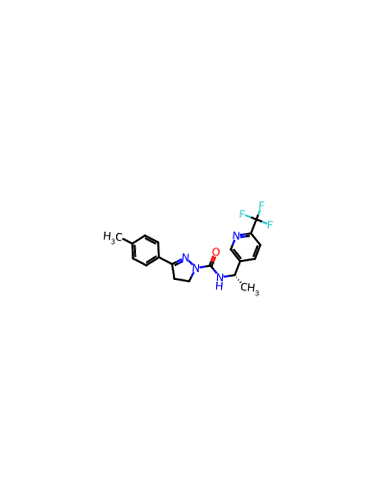 Cc1ccc(C2=NN(C(=O)N[C@@H](C)c3ccc(C(F)(F)F)nc3)CC2)cc1